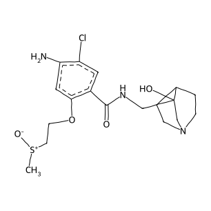 C[S+]([O-])CCOc1cc(N)c(Cl)cc1C(=O)NCC1(O)CN2CCC1CC2